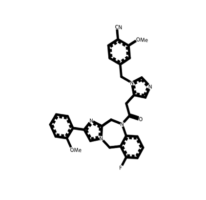 COc1cc(Cn2cncc2CC(=O)N2Cc3nc(-c4ccccc4OC)cn3Cc3c(F)cccc32)ccc1C#N